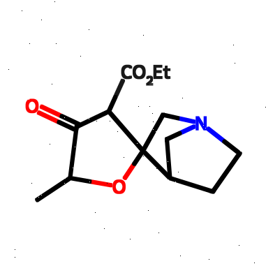 CCOC(=O)C1C(=O)C(C)OC12CN1CCC2C1